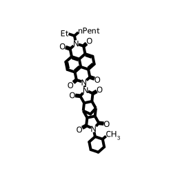 CCCCCC(CC)N1C(=O)c2ccc3c4c(ccc(c24)C1=O)C(=O)N(N1C(=O)C2C4CC(C5C(=O)N(C6CCCCC6C)C(=O)C45)C2C1=O)C3=O